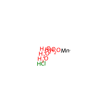 Cl.O.O.O.O.O.[Mn]